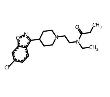 CCC(=O)N(CC)CCN1CCC(c2noc3cc(Cl)ccc23)CC1